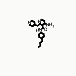 CCCCc1ccc(NC(=O)c2c(N)ccnc2Cc2ccncc2)cc1